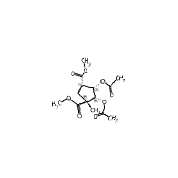 COC(=O)[C@H]1C[C@@](C)(C(=O)OC)[C@@H](OC(C)=O)[C@H]1OC(C)=O